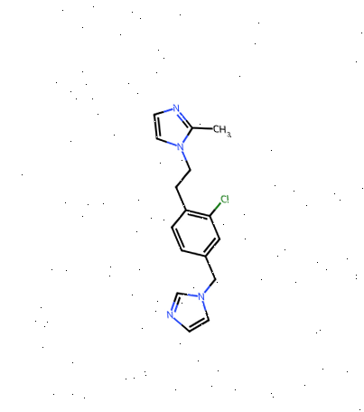 Cc1nccn1CCc1ccc(Cn2ccnc2)cc1Cl